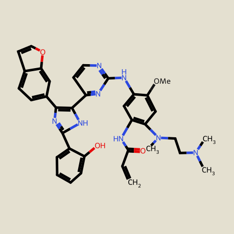 C=CC(=O)Nc1cc(Nc2nccc(-c3[nH]c(-c4ccccc4O)nc3-c3ccc4ccoc4c3)n2)c(OC)cc1N(C)CCN(C)C